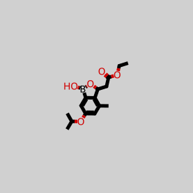 CCOC(=O)CC1OB(O)c2cc(OC(C)C)cc(C)c21